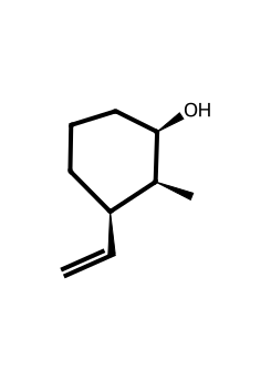 C=C[C@H]1CCC[C@@H](O)[C@H]1C